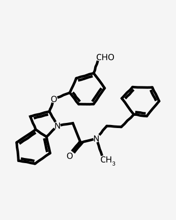 CN(CCc1ccccc1)C(=O)Cn1c(Oc2cccc(C=O)c2)cc2ccccc21